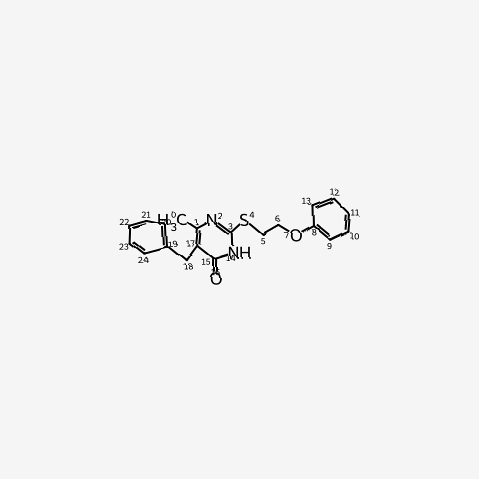 Cc1nc(SCCOc2ccccc2)[nH]c(=O)c1Cc1ccccc1